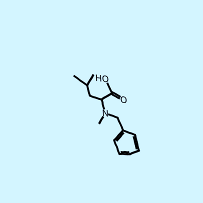 CC(C)CC(C(=O)O)N(C)Cc1ccccc1